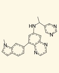 CC(Nc1cc(-c2ccc3ccn(C)c3c2)c2nccnc2c1)c1cncnc1